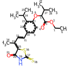 CCOC(=O)C(Oc1ccc(C=CC(C)=C2SC(=S)NC2=O)cc1C(C)C)C(C)C